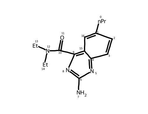 CCCc1ccc2nc(N)nc(C(=O)N(CC)CC)c2c1